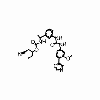 CCC(CC#N)OC(=O)NC(C)c1cccc(NC(=O)Nc2ccc(-c3cnco3)c(OC)c2)c1